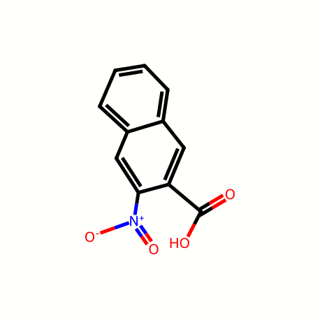 O=C(O)c1cc2ccccc2cc1[N+](=O)[O-]